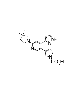 Cn1ccc(-c2cc(N3CCC(C)(C)C3)ncc2C2=CCN(C(=O)O)C2)n1